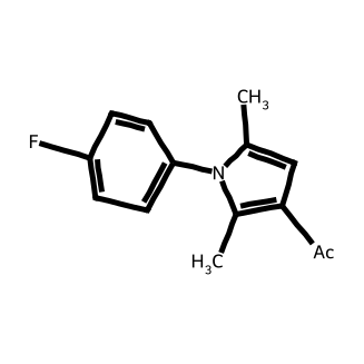 CC(=O)c1cc(C)n(-c2ccc(F)cc2)c1C